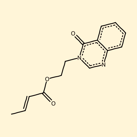 C/C=C/C(=O)OCCn1cnc2ccccc2c1=O